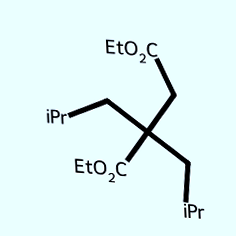 CCOC(=O)CC(CC(C)C)(CC(C)C)C(=O)OCC